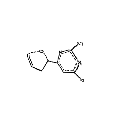 Clc1cc(C2CC=CO2)nc(Cl)n1